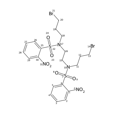 O=[N+]([O-])c1ccccc1S(=O)(=O)N(CCCBr)CCN(CCCBr)S(=O)(=O)c1ccccc1[N+](=O)[O-]